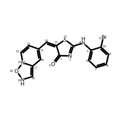 O=C1N=C(Nc2ccccc2Br)SC1=CC1=CC2=CNON2C=C1